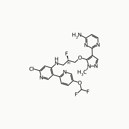 Cn1ncc(-c2nccc(N)n2)c1OC[C@H](F)CNc1cc(Cl)ncc1-c1ccc(OC(F)F)cn1